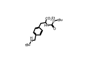 CCOC(=O)C(Cc1ccc(CNC(C)(C)C)cc1)NC(=O)OC(C)(C)C